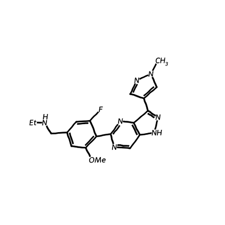 CCNCc1cc(F)c(-c2ncc3[nH]nc(-c4cnn(C)c4)c3n2)c(OC)c1